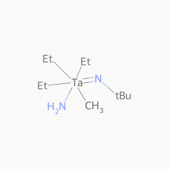 C[CH2][Ta]([CH3])([NH2])([CH2]C)([CH2]C)=[N]C(C)(C)C